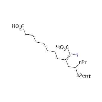 CCCCCC(CCC)CC(CCCCCCCC(=O)O)=C(I)C(=O)O